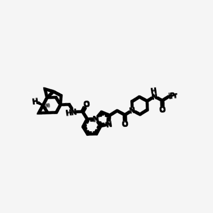 CC(C)C(=O)NC1CCN(C(=O)Cc2cn3c(C(=O)NCC45CC6C[C@@H]6C6(CC6C4)C5)cccc3n2)CC1